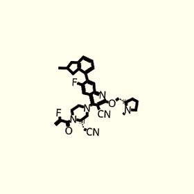 C=C(F)C(=O)N1CCN(c2c(C#N)c(OC[C@@H]3CCCN3C)nc3cc(-c4cccc5c4CC(C)C5)c(F)cc23)C[C@@H]1CC#N